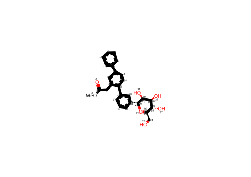 COC(=O)Cc1cc(-c2ccccc2)ccc1-c1cccc([C@H]2O[C@H](CO)[C@@H](O)[C@H](O)[C@@H]2O)c1